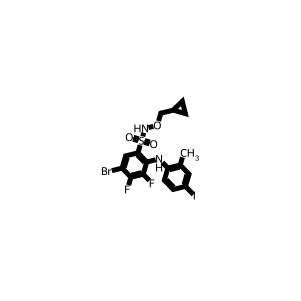 Cc1cc(I)ccc1Nc1c(S(=O)(=O)NOCC2CC2)cc(Br)c(F)c1F